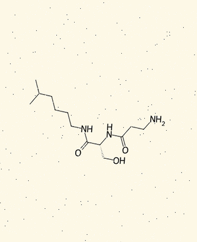 CC(C)CCCCNC(=O)[C@@H](CO)NC(=O)CCN